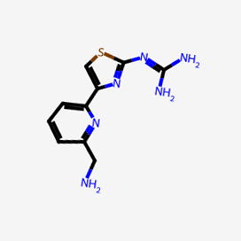 NCc1cccc(-c2csc(N=C(N)N)n2)n1